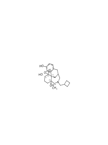 C[C@H]1N(CC2CCC2)CC2Cc3ccc(O)c4c3[C@@]3(C2)[C@@H](O4)[C@@H](O)CC[C@@]13O